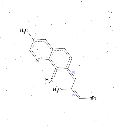 C=c1/c(=C\C(C)=C/CCC)ccc2cc(C)cnc12